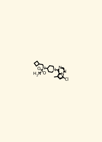 Cc1cc(Cl)n2ncnc(N3CCC(N(CC4CCC4)S(N)(=O)=O)CC3)c12